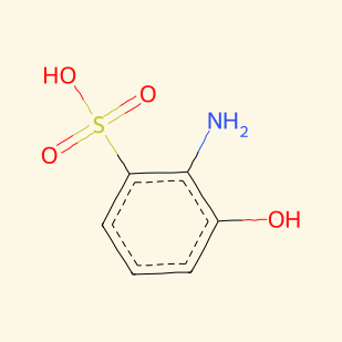 Nc1c(O)cccc1S(=O)(=O)O